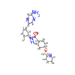 Cc1ccc(-c2cnc(N)cn2)cc1NC(=O)c1ccc(OCc2ccccn2)cc1